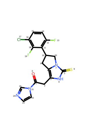 O=C(Cc1[nH]c(=S)n2c1CC(c1c(F)ccc(Cl)c1F)C2)n1ccnc1